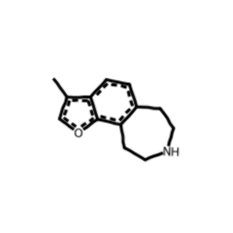 Cc1coc2c3c(ccc12)CCNCC3